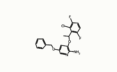 CC(Oc1cc(OCc2ccccc2)cnc1N)c1c(F)ccc(F)c1Cl